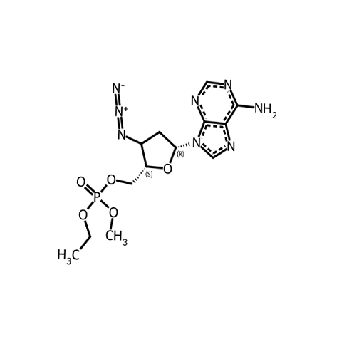 CCOP(=O)(OC)OC[C@H]1O[C@@H](n2cnc3c(N)ncnc32)CC1N=[N+]=[N-]